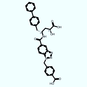 O=C(O)c1ccc(Cn2nnc3cc(C(=O)N[C@H](Cc4ccc(-c5ccccc5)cc4)C[C@H](O)C(=O)O)ccc32)cc1